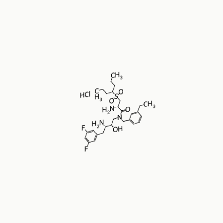 CCCC(CCC)S(=O)(=O)C[C@@H](N)C(=O)N(Cc1cccc(CC)c1)C[C@@H](O)[C@@H](N)Cc1cc(F)cc(F)c1.Cl